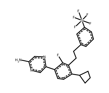 Nc1cnc(-c2ccc(C3CCC3)c(CCc3cccc(S(F)(F)(F)(F)F)c3)c2F)cn1